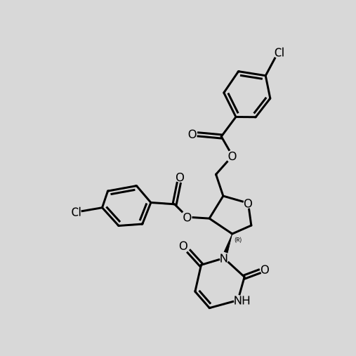 O=C(OCC1OC[C@@H](n2c(=O)cc[nH]c2=O)C1OC(=O)c1ccc(Cl)cc1)c1ccc(Cl)cc1